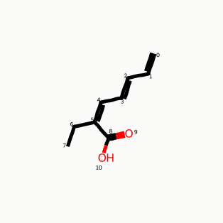 C=CC=CC=C(CC)C(=O)O